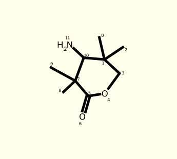 CC1(C)COC(=O)C(C)(C)C1N